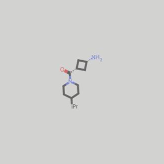 CC(C)C1CCN(C(=O)[C@H]2C[C@@H](N)C2)CC1